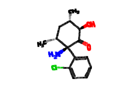 C[C@@H]1C[C@H](C)[C@@H](O)C(=O)[C@]1(N)c1ccccc1Cl